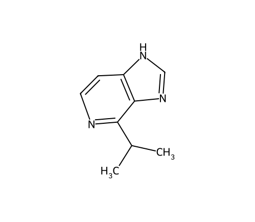 CC(C)c1nccc2[nH]cnc12